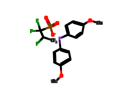 CC(C)(C)Oc1ccc([I+]c2ccc(OC(C)(C)C)cc2)cc1.O=S(=O)([O-])C(F)(F)C(F)C(F)(F)F